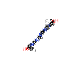 Cc1cc(N=Nc2ccc(N=Nc3ccc(O)c(C(F)(F)F)c3)cc2)ccc1N=Nc1ccc(N=Nc2ccc(N=Nc3ccc(O)c(C(F)(F)F)c3)c(C)c2)cc1